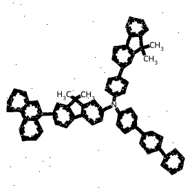 CC1(C)c2ccccc2-c2ccc(-c3ccc(N(c4ccc(-c5ccc(-c6ccccc6)cc5)cc4)c4ccc5c(c4)C(C)(C)c4cc(-c6cc7ccccc7c7ccccc67)ccc4-5)cc3)cc21